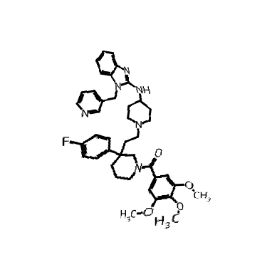 COc1cc(C(=O)N2CCCC(CCN3CCC(Nc4nc5ccccc5n4Cc4cccnc4)CC3)(c3ccc(F)cc3)C2)cc(OC)c1OC